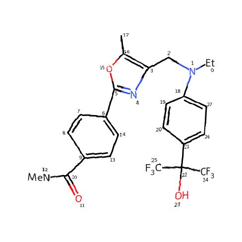 CCN(Cc1nc(-c2ccc(C(=O)NC)cc2)oc1C)c1ccc(C(O)(C(F)(F)F)C(F)(F)F)cc1